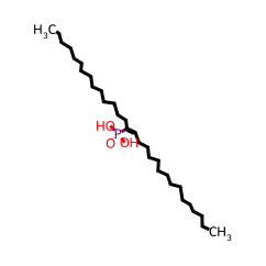 CCCCCCCCCCCCCCC=C(CCCCCCCCCCCCCC)P(=O)(O)O